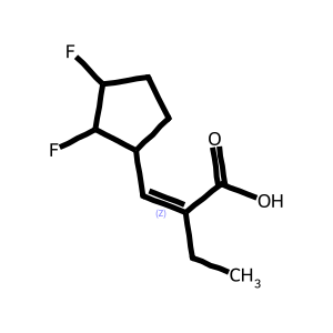 CC/C(=C/C1CCC(F)C1F)C(=O)O